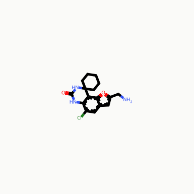 NCc1cc2cc(Cl)c3c(c2o1)C1(CCCCC1)NC(=O)N3